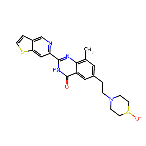 Cc1cc(CCN2CC[S+]([O-])CC2)cc2c(=O)[nH]c(-c3cc4sccc4cn3)nc12